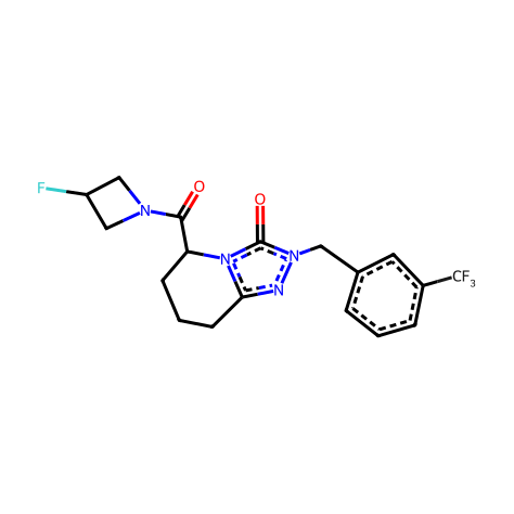 O=C(C1CCCc2nn(Cc3cccc(C(F)(F)F)c3)c(=O)n21)N1CC(F)C1